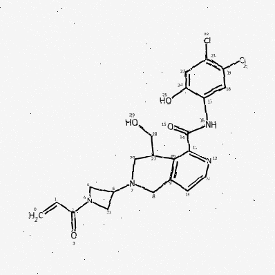 C=CC(=O)N1CC(N2Cc3ccnc(C(=O)Nc4cc(Cl)c(Cl)cc4O)c3C(CO)C2)C1